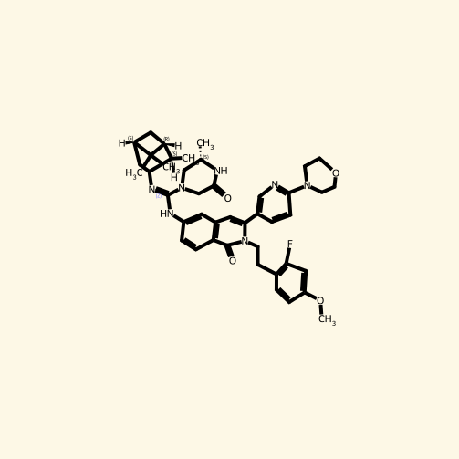 COc1ccc(CCn2c(-c3ccc(N4CCOCC4)nc3)cc3cc(N/C(=N/C4C[C@@H]5C[C@H]([C@@H]4C)C5(C)C)N4CC(=O)N[C@@H](C)C4)ccc3c2=O)c(F)c1